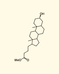 COC(=O)CCCC1CCC2C3CCC4C[C@H](O)CCC4(C)C3CCC12C